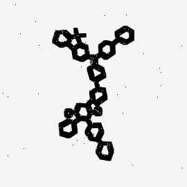 CC1(C)c2ccccc2-c2ccc(N(C3=CC=C(c4ccccc4)CC3)c3ccc(-c4ccc5oc6c(-c7ccc(-c8ccccc8)cc7)c7c(cc6c5c4)oc4ccccc47)cc3)cc21